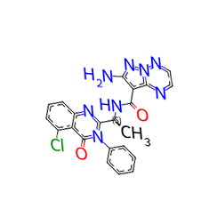 C[C@H](NC(=O)c1c(N)nn2nccnc12)c1nc2cccc(Cl)c2c(=O)n1-c1ccccc1